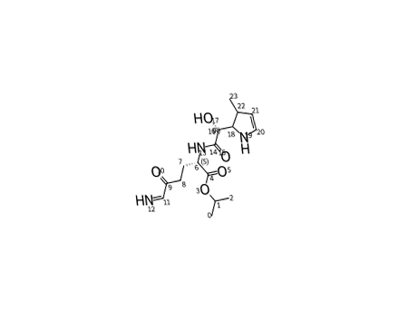 CC(C)OC(=O)[C@H](CCC(=O)C=N)NC(=O)[C@H](O)C1NC=CC1C